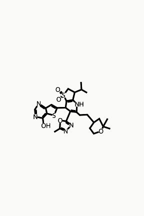 Cc1nnc(C2=C(CCC3CCOC(C)(C)C3)NC3=C(C2c2cc4ncnc(O)c4s2)S(=O)(=O)CC3C(C)C)o1